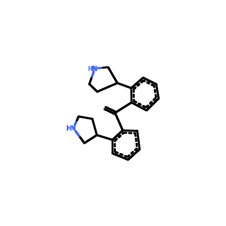 C=C(c1ccccc1C1CCNC1)c1ccccc1C1CCNC1